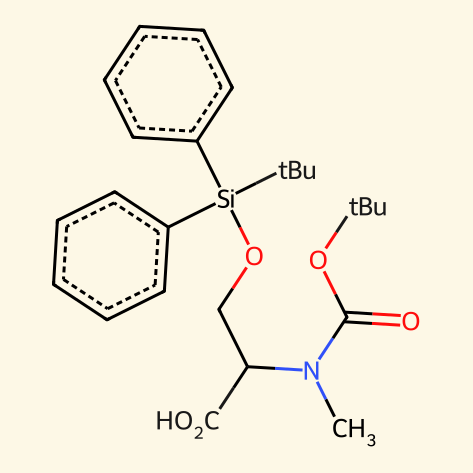 CN(C(=O)OC(C)(C)C)C(CO[Si](c1ccccc1)(c1ccccc1)C(C)(C)C)C(=O)O